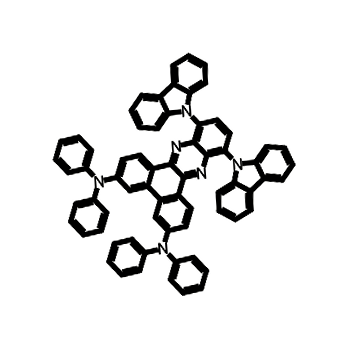 c1ccc(N(c2ccccc2)c2ccc3c(c2)c2cc(N(c4ccccc4)c4ccccc4)ccc2c2nc4c(-n5c6ccccc6c6ccccc65)ccc(-n5c6ccccc6c6ccccc65)c4nc32)cc1